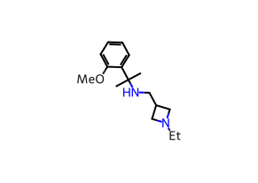 CCN1CC(CNC(C)(C)c2ccccc2OC)C1